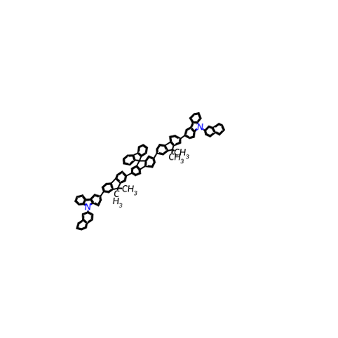 CC1(C)c2cc(-c3ccc4c(c3)C3(c5ccccc5-c5ccccc53)c3cc(-c5ccc6c(c5)C(C)(C)c5cc(-c7ccc8c(c7)c7ccccc7n8-c7ccc8ccccc8c7)ccc5-6)ccc3-4)ccc2-c2ccc(-c3ccc4c(c3)c3ccccc3n4-c3ccc4ccccc4c3)cc21